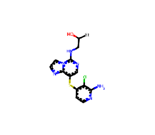 CCC(O)CNc1ncc(Sc2ccnc(N)c2Cl)c2nccn12